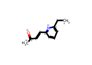 CCc1cccc(/C=C/C(C)=O)n1